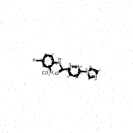 O=C(Nc1ccc(F)cc1C(=O)O)c1ccc(-n2ccnc2)nn1